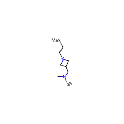 CCCN(C)CC1CN(CCSC)C1